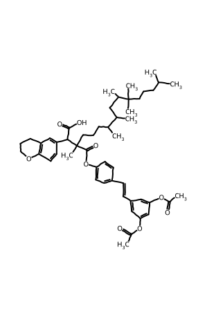 CC(=O)Oc1cc(/C=C/c2ccc(OC(=O)C(C)(CCCC(C)C(C)CC(C)C(C)(C)CCCC(C)C)C(C(=O)O)c3ccc4c(c3)CCCO4)cc2)cc(OC(C)=O)c1